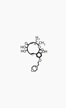 C[C@@H]1/C=C\C(=O)C(O)[C@@H](O)C/C=C/c2cc(OCCN3CCOCC3)cc(O)c2C(=O)O[C@H]1C